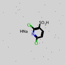 O=S(=O)(O)c1ccc(Cl)nc1Cl.[NaH]